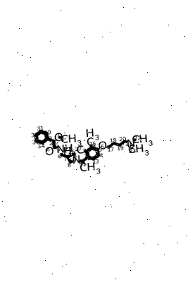 CO[C@@H](C(=O)NCC1CN(C(C)c2ccc(OCCCCN(C)C)c(C)c2C)C1)c1ccccc1